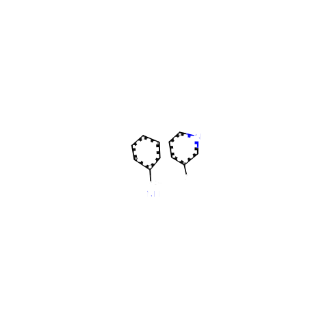 CCCc1ccccc1.Cc1cccnc1.N